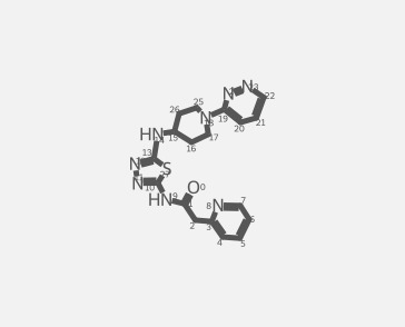 O=C(Cc1ccccn1)Nc1nnc(NC2CCN(c3cccnn3)CC2)s1